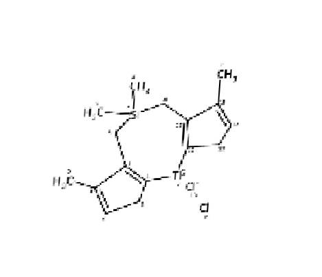 CC1=CC[C]2=C1C[Si](C)(C)CC1=[C](CC=C1C)[Ti+2]2.[Cl-].[Cl-]